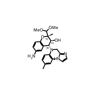 COC(OC)[C@@]1(C)Oc2ccc(N)cc2[C@@H](N(Cc2ncc[nH]2)c2ccc(C)cc2C)[C@@H]1O